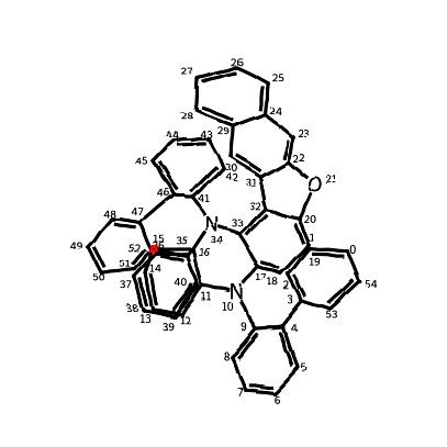 c1ccc(-c2ccccc2N(c2ccccc2)c2ccc3oc4cc5ccccc5cc4c3c2N(c2ccccc2)c2ccccc2-c2ccccc2)cc1